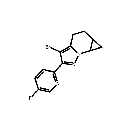 Fc1ccc(-c2nn3c(c2Br)CCC2CC23)nc1